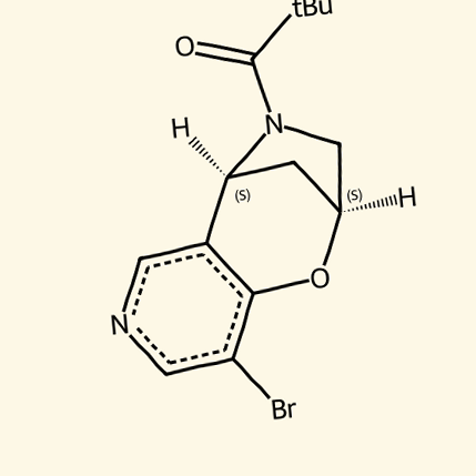 CC(C)(C)C(=O)N1C[C@@H]2C[C@H]1c1cncc(Br)c1O2